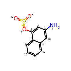 Nc1cc(O[SH](=O)=O)c2ccccc2c1